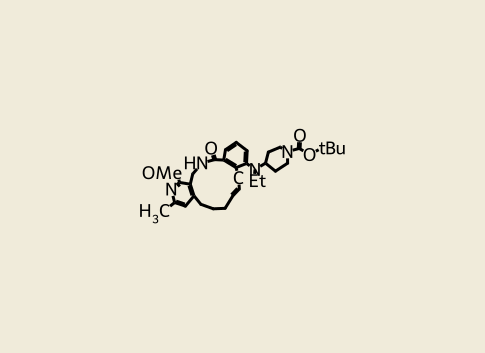 CCN(c1cccc2c1C/C=C/CCCc1cc(C)nc(OC)c1CNC2=O)C1CCN(C(=O)OC(C)(C)C)CC1